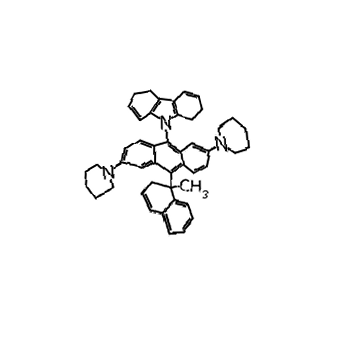 CC1(c2c3ccc(N4CCCCC4)cc3c(-n3c4c(c5c3CCC=C5)CCC=C4)c3ccc(N4CCCCC4)cc23)CC=Cc2ccccc21